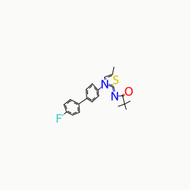 Cc1cn(-c2ccc(-c3ccc(F)cc3)cc2)c(=NC(=O)C(C)(C)C)s1